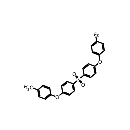 CCc1ccc(Oc2ccc(S(=O)(=O)c3ccc(Oc4ccc(C)cc4)cc3)cc2)cc1